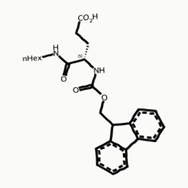 CCCCCCNC(=O)[C@H](CCC(=O)O)NC(=O)OCC1c2ccccc2-c2ccccc21